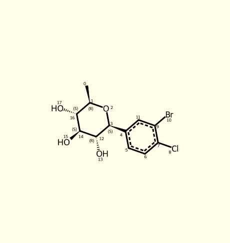 C[C@H]1O[C@@H](c2ccc(Cl)c(Br)c2)[C@H](O)[C@@H](O)[C@@H]1O